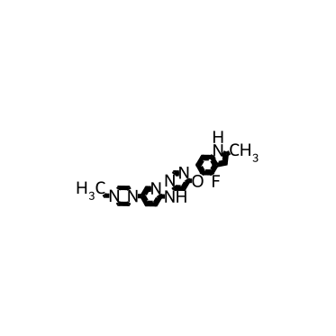 CCN1CCN(c2ccc(Nc3cc(Oc4ccc5[nH]c(C)cc5c4F)ncn3)nc2)CC1